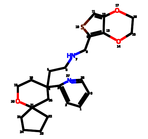 c1ccc(C2(CCNCc3scc4c3OCCO4)CCOC3(CCCC3)C2)nc1